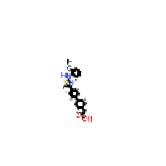 Cc1ccccc1Nc1nc(-c2ccc(C3CCC(CC(=O)O)CC3)cc2)cs1